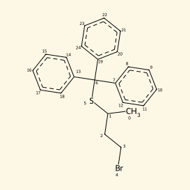 CC(CCBr)SC(c1ccccc1)(c1ccccc1)c1ccccc1